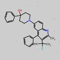 Cc1nc2ccc(N3CCC(O)(c4ccccc4)CC3)cc2c(-c2ccccc2)c1C(C)(F)C=O